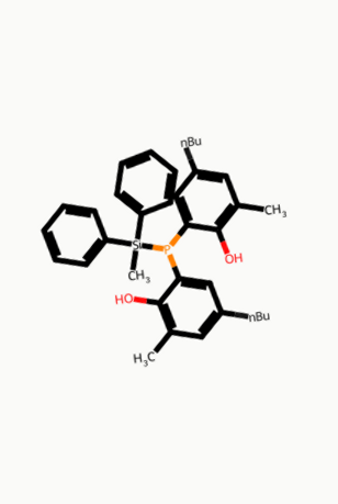 CCCCc1cc(C)c(O)c(P(c2cc(CCCC)cc(C)c2O)[Si](C)(c2ccccc2)c2ccccc2)c1